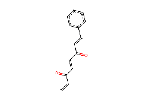 C=CC(=O)C=CC(=O)/C=C/c1ccccc1